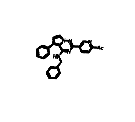 CC(=O)c1ccc(-c2nc(NCc3ccccc3)c3c(-c4ccccc4)ccn3n2)cn1